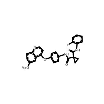 COc1[c]cc2nccc(Oc3ccc(NC(=O)C4(C(=O)Nc5ccccc5F)CC4)cc3)c2c1